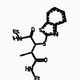 CCNC(=O)C(C)C(Sc1nc2ccccc2s1)C(=O)NCC